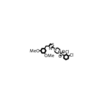 COc1cc(Cc2csc(N3CCN(S(=O)(=O)c4cccc(Cl)c4Cl)CC3)n2)cc(OC)c1